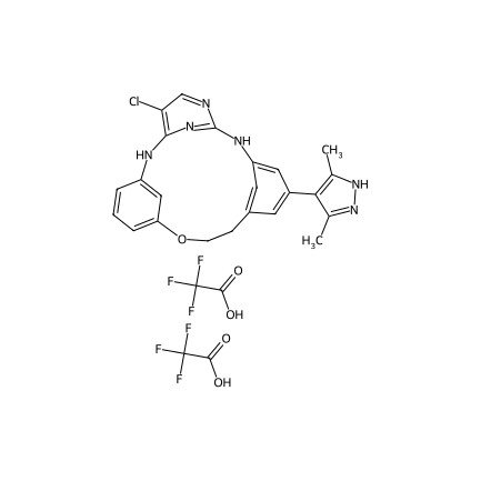 Cc1n[nH]c(C)c1-c1cc2cc(c1)Nc1ncc(Cl)c(n1)Nc1cccc(c1)OCC2.O=C(O)C(F)(F)F.O=C(O)C(F)(F)F